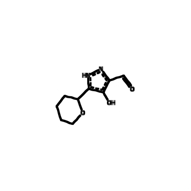 O=Cc1n[nH]c(C2CCCCO2)c1O